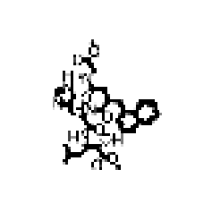 COC(=O)CN(C)C(=O)CC(Cc1cccc2ccccc12)C(=O)N[C@@H](Cc1c[nH]cn1)C(=O)N[C@@H](CC(C)C)C(O)C(=O)OC